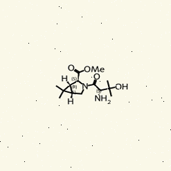 COC(=O)[C@@H]1[C@@H]2[C@H](CN1C(=O)[C@@H](N)C(C)(C)O)C2(C)C